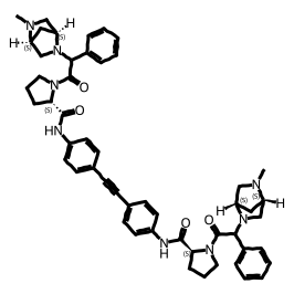 CN1C[C@@H]2C[C@H]1CN2C(C(=O)N1CCC[C@H]1C(=O)Nc1ccc(C#Cc2ccc(NC(=O)[C@@H]3CCCN3C(=O)C(c3ccccc3)N3C[C@@H]4C[C@H]3CN4C)cc2)cc1)c1ccccc1